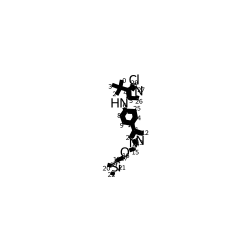 CC(C)(C)C1=C(Nc2ccc(-c3cnn(COCC[Si](C)(C)C)c3)cc2)CN=C1Cl